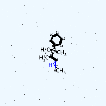 CN/C=C(\C)[Si](C)(C)c1ccccc1